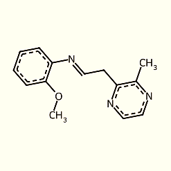 COc1ccccc1N=CCc1nccnc1C